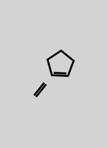 C1=CCCC1.C=C